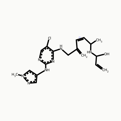 C=CC(O)NC(C)/C=C\C(=C)CNc1nc(Nc2cnn(C)c2)ncc1Cl